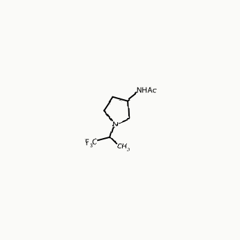 CC(=O)NC1CCN(C(C)C(F)(F)F)C1